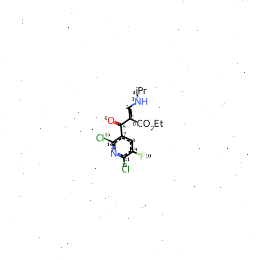 CCOC(=O)/C(=C\NC(C)C)C(=O)c1cc(F)c(Cl)nc1Cl